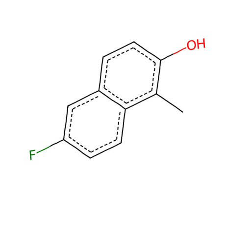 Cc1c(O)ccc2cc(F)ccc12